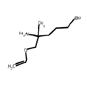 C=COCC(C)(N)CCCC(C)CC